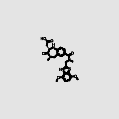 COc1ccc(OC)c2[nH]c(CN(C)C(=O)c3ccc4c(c3)CN(C)C(=O)[C@H](CC(=O)O)N4)nc12